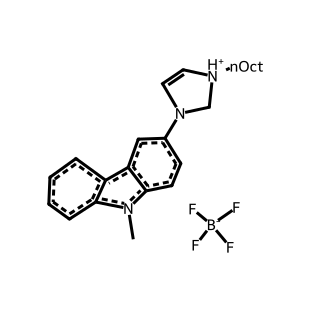 CCCCCCCC[NH+]1C=CN(c2ccc3c(c2)c2ccccc2n3C)C1.F[B-](F)(F)F